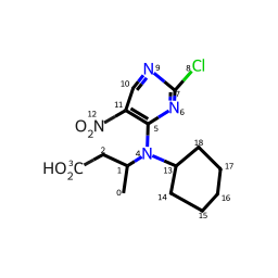 CC(CC(=O)O)N(c1nc(Cl)ncc1[N+](=O)[O-])C1CCCCC1